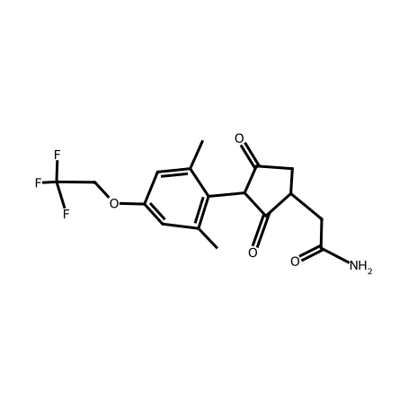 Cc1cc(OCC(F)(F)F)cc(C)c1C1C(=O)CC(CC(N)=O)C1=O